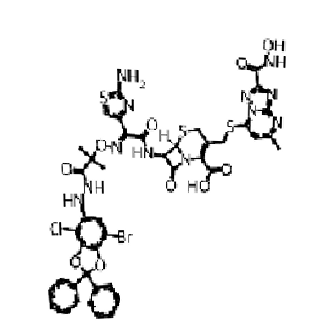 Cc1cc(SCC2=C(C(=O)O)N3C(=O)[C@@H](NC(=O)C(=NOC(C)(C)C(=O)NNc4cc(Br)c5c(c4Cl)OC(c4ccccc4)(c4ccccc4)O5)c4csc(N)n4)[C@H]3SC2)n2nc(C(=O)NO)nc2n1